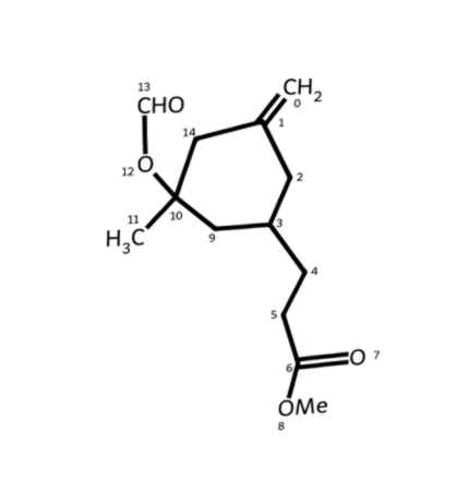 C=C1CC(CCC(=O)OC)CC(C)(OC=O)C1